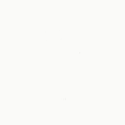 CC#Cc1ccc(C2C(=O)C3CCC(C3)C2=O)c(OCCC)c1